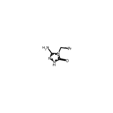 CC(C)Cn1c(N)n[nH]c1=O